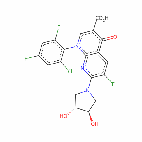 O=C(O)c1cn(-c2c(F)cc(F)cc2Cl)c2nc(N3C[C@@H](O)[C@H](O)C3)c(F)cc2c1=O